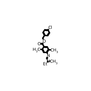 CCN(C)/C=N/c1cc(C)c(C(=O)OCc2ccc(Cl)cc2)cc1C